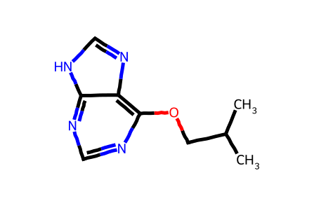 CC(C)COc1ncnc2[nH]cnc12